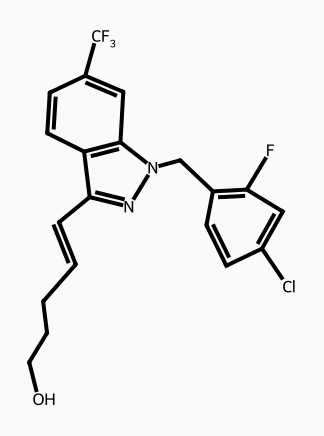 OCCCC=Cc1nn(Cc2ccc(Cl)cc2F)c2cc(C(F)(F)F)ccc12